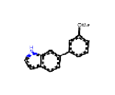 COc1[c]ccc(-c2ccc3cc[nH]c3c2)c1